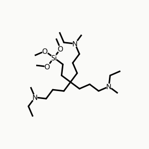 CCN(C)CCCC(CCCN(C)CC)(CCCN(C)CC)CC[Si](OC)(OC)OC